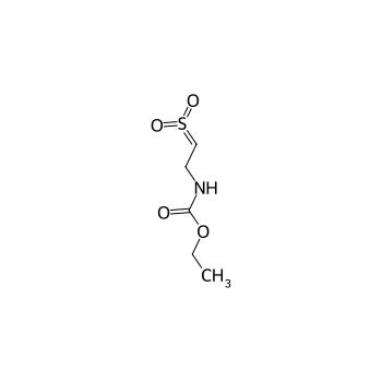 CCOC(=O)NCC=S(=O)=O